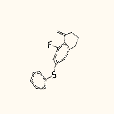 C=C1CCCc2cc(Sc3ccccc3)cc(F)c21